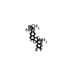 CS(=O)(=O)Nc1ccc2c3c(ccc2c1)O[C@H](c1cc(F)c(F)cc1F)[C@@H](N)C3